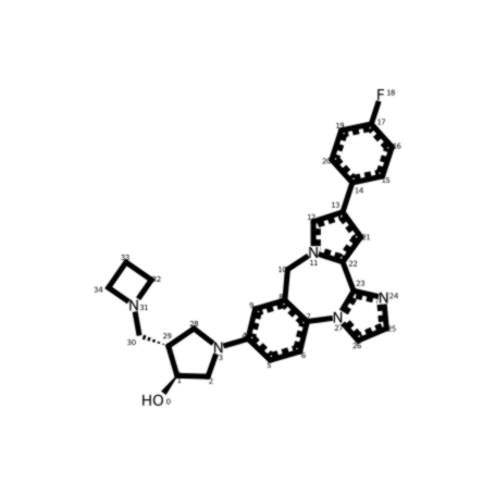 O[C@@H]1CN(c2ccc3c(c2)Cn2cc(-c4ccc(F)cc4)cc2-c2nccn2-3)C[C@H]1CN1CCC1